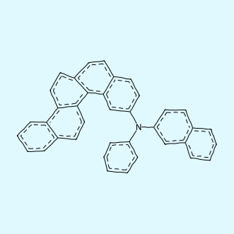 c1ccc(N(c2ccc3ccccc3c2)c2ccc3ccc4ccc5c6ccccc6ccc5c4c3c2)cc1